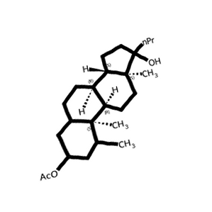 CCCC1(O)CC[C@H]2[C@@H]3CCC4CC(OC(C)=O)CC(C)[C@]4(C)[C@@H]3CC[C@@]21C